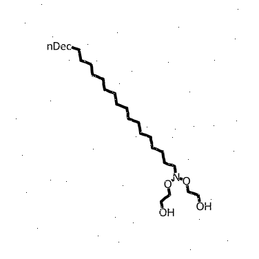 CCCCCCCCCCCCCCCCCCCCCCCCCCCN(OCCO)OCCO